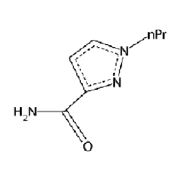 C[CH]Cn1ccc(C(N)=O)n1